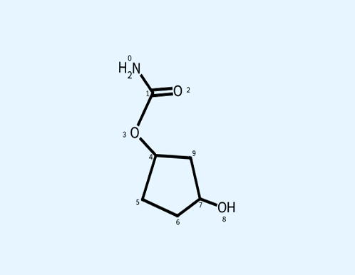 NC(=O)OC1CCC(O)C1